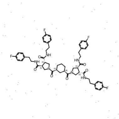 O=C(NCCc1ccc(F)cc1)[C@@H]1CN(C(=O)[C@@H]2CCC[C@H](C(=O)N3C[C@@H](C(=O)NCCc4ccc(F)cc4)[C@H](C(=O)NCCc4ccc(F)cc4)C3)C2)C[C@H]1C(=O)NCCc1ccc(F)cc1